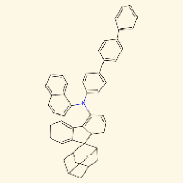 c1ccc(-c2ccc(-c3ccc(N(c4cccc5c4-c4ccccc4C54C5CC6CC(C5)CC4C6)c4cccc5ccccc45)cc3)cc2)cc1